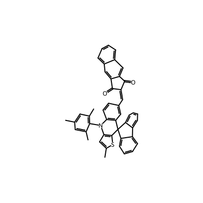 Cc1cc(C)c(N2c3ccc(C=C4C(=O)c5cc6ccccc6cc5C4=O)cc3C3(c4ccccc4-c4ccccc43)c3sc(C)cc32)c(C)c1